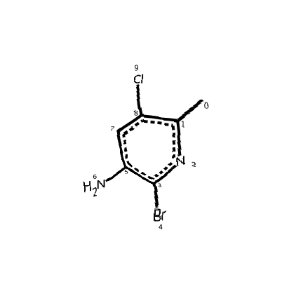 Cc1nc(Br)c(N)cc1Cl